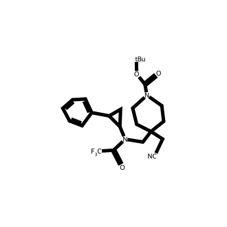 CC(C)(C)OC(=O)N1CCC(CC#N)(CN(C(=O)C(F)(F)F)C2CC2c2ccccc2)CC1